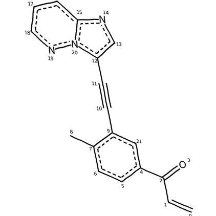 C=CC(=O)c1ccc(C)c(C#Cc2cnc3cccnn23)c1